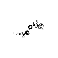 CCOC(=O)c1cnn([C@@H]2CCN(C(=O)OC(C)(C)C)C2)c1